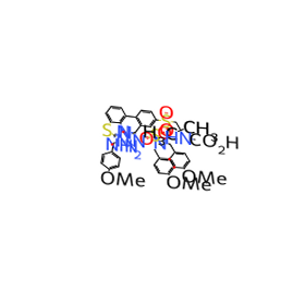 COc1ccc(CN(Cc2ccc(OC)cc2)S(=O)(=O)c2c(S(=O)(=O)CC(C)(C)NC(=O)O)ccc(-c3cccc4sc(N)nc34)c2-c2nnn(Cc3ccc(OC)cc3)n2)cc1